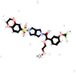 COCCOC(C(=O)N1CC2=C(C1)CN(S(=O)(=O)c1ccc3c(c1)OCCO3)C2)c1cccc(OC(F)F)c1